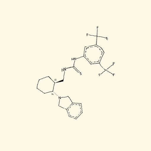 FC(F)(F)c1cc(NC(=S)NC[C@@H]2CCCC[C@H]2N2Cc3ccccc3C2)cc(C(F)(F)F)c1